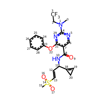 CN(CC(F)(F)F)c1ncc(C(=O)N[C@H](/C=C/S(C)(=O)=O)C2=CC2)c(Oc2ccccc2)n1